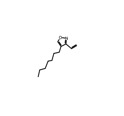 C=Cc1nocc1CCCCCCC